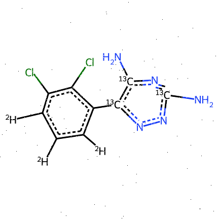 [2H]c1c([2H])c(Cl)c(Cl)c(-[13c]2nn[13c](N)n[13c]2N)c1[2H]